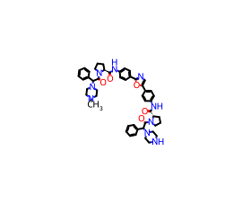 CN1CCN(C(C(=O)N2CCC[C@H]2C(=O)Nc2ccc(-c3ncc(-c4ccc(NC(=O)[C@@H]5CCCN5C(=O)C(c5ccccc5)N5CCNCC5)cc4)o3)cc2)c2ccccc2)CC1